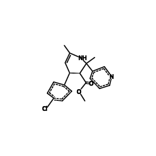 COC(=O)C1C(c2ccc(Cl)cc2)C=C(C)NC1(C)c1cccnc1